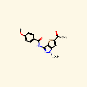 CCOC(=O)n1nc(NC(=O)c2ccc(OC(C)C)cc2)c2sc(C(=O)OC)cc21